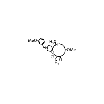 COc1cccc(CN2CCC3(CC2)CN(C)CCCC(OC)CCC(=O)C(C)C(=O)O3)c1